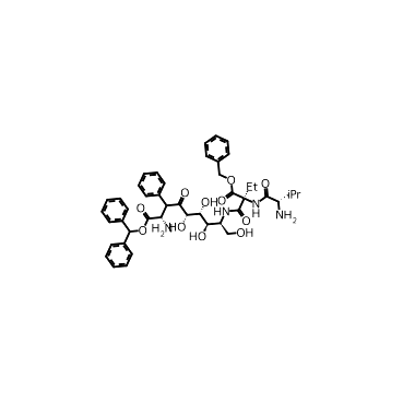 CC[C@](NC(=O)[C@@H](N)C(C)C)(C(=O)N[C@@H](CO)[C@@H](O)[C@@H](O)[C@H](O)C(=O)C(c1ccccc1)[C@H](N)C(=O)OC(c1ccccc1)c1ccccc1)C(=O)OCc1ccccc1